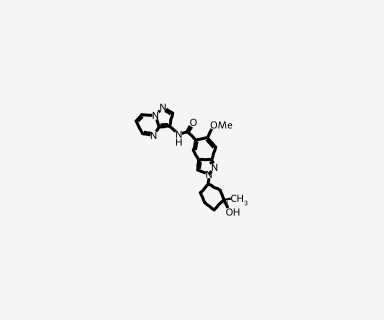 COc1cc2nn(C3CCC[C@@](C)(O)C3)cc2cc1C(=O)Nc1cnn2cccnc12